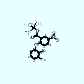 CC(C)(C)OC(=O)c1cc([N+](=O)[O-])ccc1Oc1cccc(F)c1Br